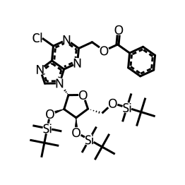 CC(C)(C)[Si](C)(C)OC[C@H]1O[C@@H](n2cnc3c(Cl)nc(COC(=O)c4ccccc4)nc32)[C@H](O[Si](C)(C)C(C)(C)C)[C@@H]1O[Si](C)(C)C(C)(C)C